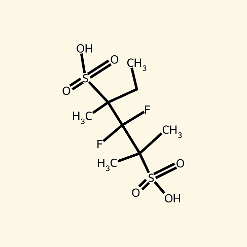 CCC(C)(C(F)(F)C(C)(C)S(=O)(=O)O)S(=O)(=O)O